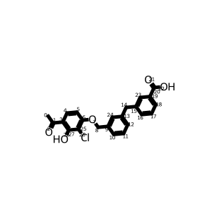 CC(=O)c1ccc(OCc2cccc(Cc3cccc(C(=O)O)c3)c2)c(Cl)c1O